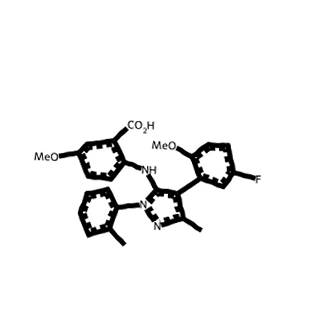 COc1ccc(Nc2c(-c3cc(F)ccc3OC)c(C)nn2-c2ccccc2C)c(C(=O)O)c1